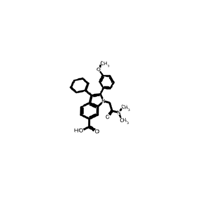 COc1cccc(-c2c(C3CCCCC3)c3ccc(C(=O)O)cc3n2CC(=O)N(C)C)c1